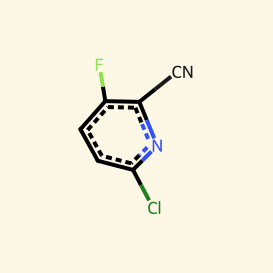 N#Cc1nc(Cl)ccc1F